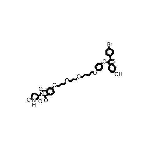 O=C1CCC(N2C(=O)c3ccc(OCCCOCCCOCCCCOc4ccc(Oc5c(-c6ccc(Br)cc6)sc6cc(O)ccc56)cc4)cc3C2=O)C(=O)N1